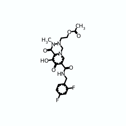 CC(=O)OCCN1Cn2cc(C(=O)NCc3ccc(F)cc3F)c(=O)c(O)c2C(=O)N1C